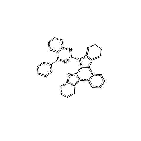 C1=c2c(n(-c3nc(-c4ccccc4)c4ccccc4n3)c3c4sc5ccccc5c4c4ccccc4c23)=CCC1